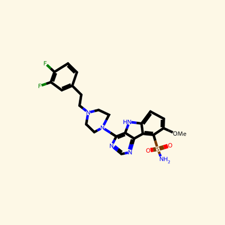 COc1ccc2[nH]c3c(N4CCN(CCc5ccc(F)c(F)c5)CC4)ncnc3c2c1S(N)(=O)=O